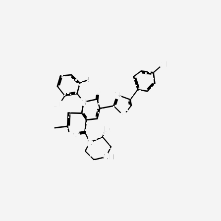 CCc1cccc(CC)c1-n1c(C=C(C)C)c(C(=O)N2CCNCC2CC)cc(-c2nc(-c3ccc(Cl)cc3)cs2)c1=O